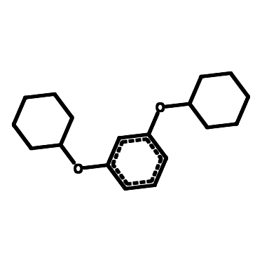 c1cc(OC2CCCCC2)cc(OC2CCCCC2)c1